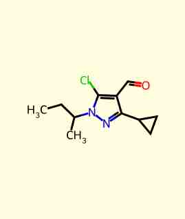 CCC(C)n1nc(C2CC2)c(C=O)c1Cl